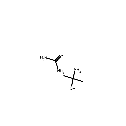 CC(C)(N)O.NC(N)=O